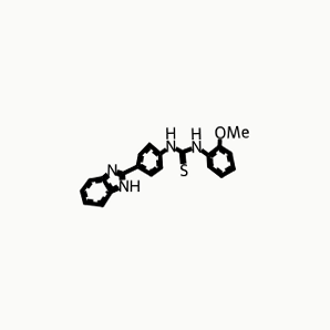 COc1ccccc1NC(=S)Nc1ccc(-c2nc3ccccc3[nH]2)cc1